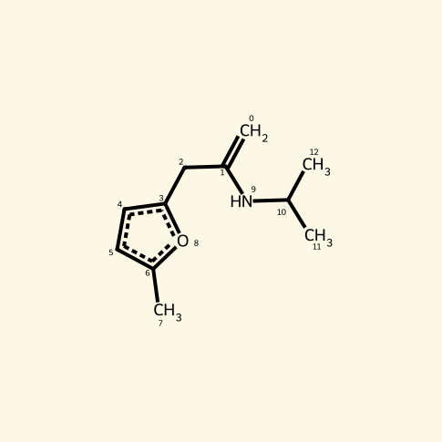 C=C(Cc1ccc(C)o1)NC(C)C